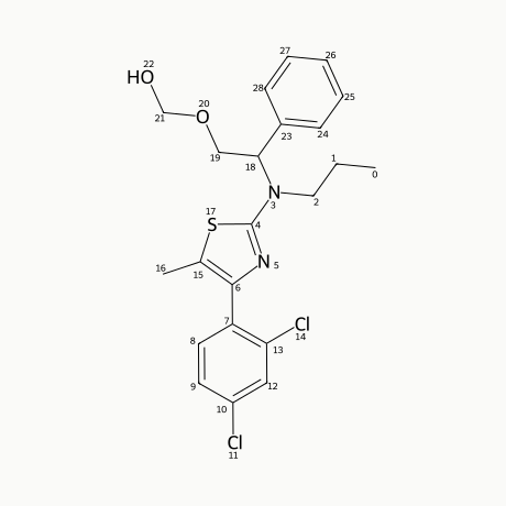 CCCN(c1nc(-c2ccc(Cl)cc2Cl)c(C)s1)C(COCO)c1ccccc1